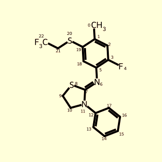 Cc1cc(F)c(/N=C2\SCCN2c2ccccc2)cc1SCC(F)(F)F